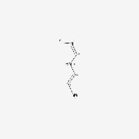 C/N=C\N/C=C/C(C)C